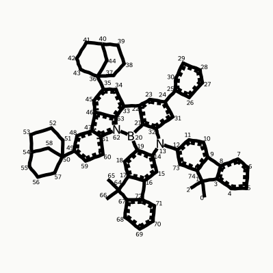 CC1(C)c2ccccc2-c2ccc(N3c4cc5c(cc4B4c6c(cc(-c7ccccc7)cc63)-c3cc(C67CCCC(CCC6)C7)cc6c7cc(C89CCCC(CCC8)C9)ccc7n4c36)C(C)(C)c3ccccc3-5)cc21